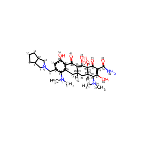 CN(C)c1c(CN2CC3CCCC3C2)cc(O)c2c1C[C@H]1C[C@H]3[C@H](N(C)C)C(O)=C(C(N)=O)C(=O)[C@@]3(O)C(O)=C1C2=O